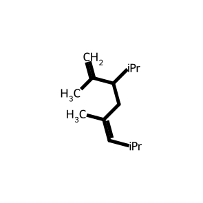 C=C(C)C(CC(C)=CC(C)C)C(C)C